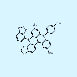 CC(C)(C)c1ccc(N2c3ccc(C(C)(C)C)cc3B3C4=CC=C5OCOC5C4N(c4cccc5c4OCO5)c4cc(C(C)(C)C)cc2c43)cc1